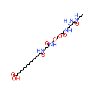 CCCCNC(=O)[C@@H](N)CCCCNCC(=O)COCCOCCNC(=O)CCCNC(=O)CCCCCCCCCCCCCCCCC(=O)O